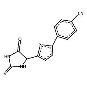 N#Cc1ccc(-c2ccc(C3NC(=S)NC3=O)s2)cc1